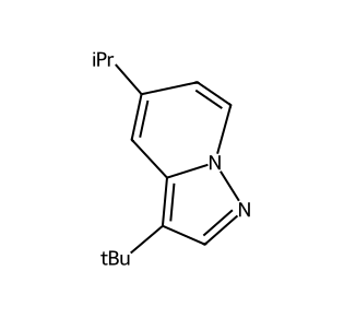 CC(C)c1ccn2ncc(C(C)(C)C)c2c1